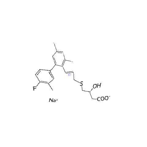 Cc1cc(C)c(/C=C/CSCC(O)CC(=O)[O-])c(-c2ccc(F)c(C)c2)c1.[Na+]